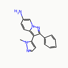 Cn1nccc1-c1c(-c2ccccc2)nn2cc(N)ccc12